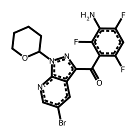 Nc1c(F)cc(F)c(C(=O)c2nn(C3CCCCO3)c3ncc(Br)cc23)c1F